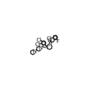 O=C(Cc1c(F)cccc1Cl)N1CCCC[C@@](CCN2CCC(N3CCCCC3)CC2)(c2ccc(Cl)c(Cl)c2)C1